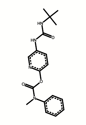 CN(C(=O)Oc1ccc(NC(=O)NC(C)(C)C)cn1)c1ccccc1